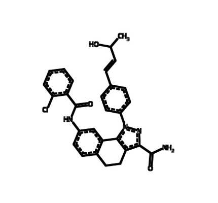 CC(O)/C=C/c1ccc(-n2nc(C(N)=O)c3c2-c2cc(NC(=O)c4ccccc4Cl)ccc2CC3)cc1